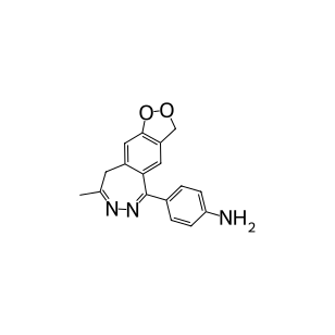 CC1=NN=C(c2ccc(N)cc2)c2cc3c(cc2C1)OOC3